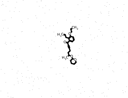 C=CCOc1cccc(C(=O)C#CCCC(C)OC2CCCCO2)c1CC=C